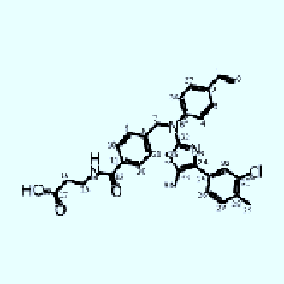 C=Cc1ccc(N(Cc2ccc(C(=O)NCCC(=O)O)cc2)c2nc(-c3ccc(C)c(Cl)c3)c(C)s2)cc1